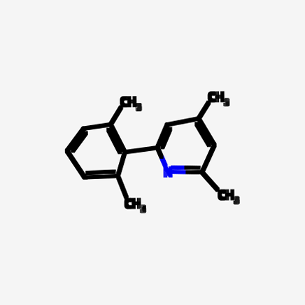 Cc1cc(C)nc(-c2c(C)cccc2C)c1